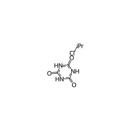 CC(C)Cl.O=c1[nH]c(=O)[nH]c(=O)[nH]1